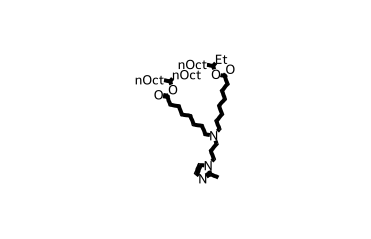 CCCCCCCCC(CC)OC(=O)CCCCCCCN(CCCCCCCC(=O)OC(CCCCCCCC)CCCCCCCC)CCCn1ccnc1C